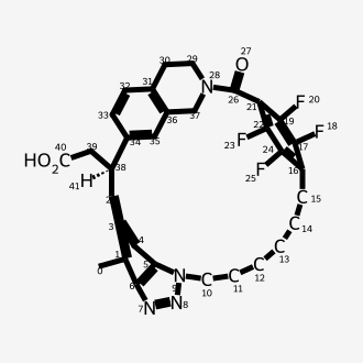 Cc1c2ccc3c1nnn3CCCCCCc1c(F)c(F)c(c(F)c1F)C(=O)N1CCc3ccc(cc3C1)[C@@H]2CC(=O)O